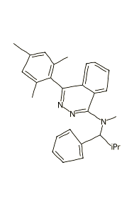 Cc1cc(C)c(-c2nnc(N(C)C(c3ccccc3)C(C)C)c3ccccc23)c(C)c1